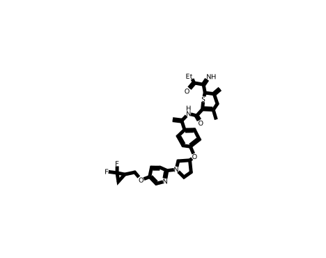 C=C(NC(=O)C1=C(C)CC(=C)C(C(=N)C(=O)CC)S1)c1ccc(OC2CCN(c3ccc(OCC4CC4(F)F)cn3)C2)cc1